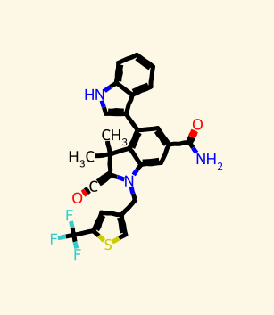 CC1(C)C(=C=O)N(Cc2csc(C(F)(F)F)c2)c2cc(C(N)=O)cc(-c3c[nH]c4ccccc34)c21